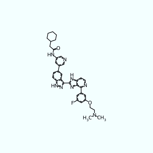 CN(C)CCOc1cc(F)cc(-c2nccc3[nH]c(-c4n[nH]c5ccc(-c6cncc(NC(=O)CC7CCCCC7)c6)cc45)nc23)c1